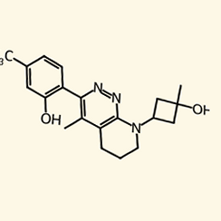 Cc1c(-c2ccc(C(F)(F)F)cc2O)nnc2c1CCCN2C1CC(C)(O)C1